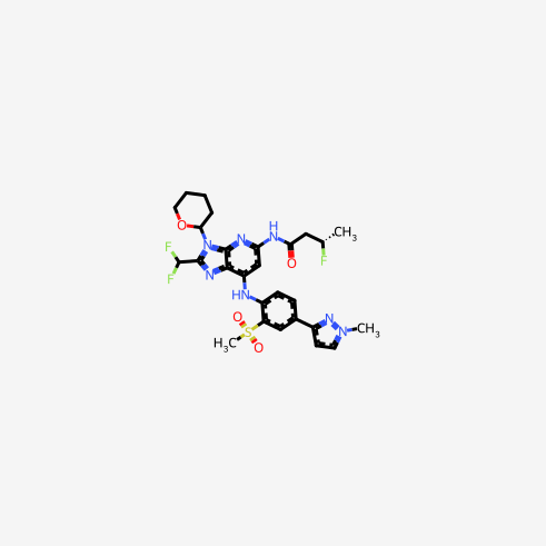 C[C@H](F)CC(=O)Nc1cc(Nc2ccc(-c3ccn(C)n3)cc2S(C)(=O)=O)c2nc(C(F)F)n(C3CCCCO3)c2n1